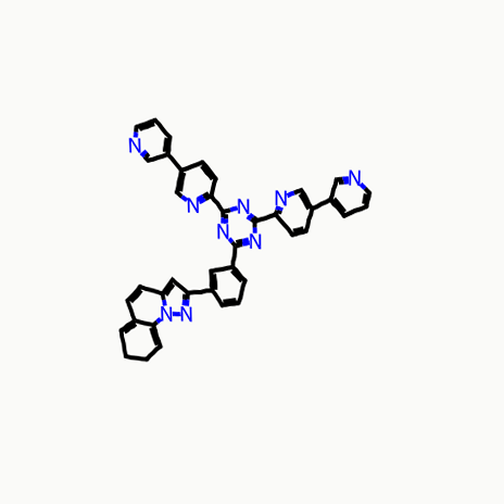 C1=c2ccc3cc(-c4cccc(-c5nc(-c6ccc(-c7cccnc7)cn6)nc(-c6ccc(-c7cccnc7)cn6)n5)c4)nn3c2=CCC1